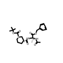 CC(=O)N[C@@](C)(NC(=O)[C@@H]1CCCN(C(=O)OC(C)(C)C)C1)C(=O)OCc1ccccc1